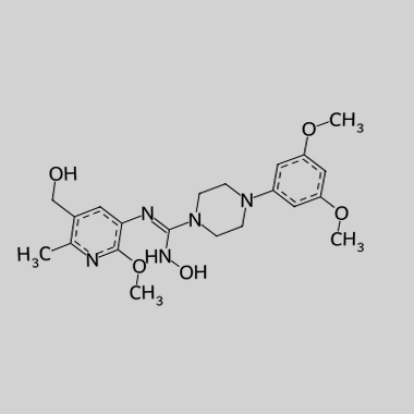 COc1cc(OC)cc(N2CCN(C(=Nc3cc(CO)c(C)nc3OC)NO)CC2)c1